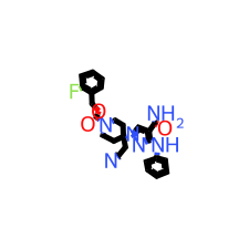 N#CCC1(n2cc(C(N)=O)c(Nc3ccccc3)n2)CCN(C(=O)OCc2ccccc2F)CC1